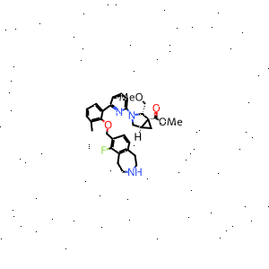 COC[C@H]1N(c2cccc(-c3cccc(C)c3OCc3ccc4c(c3F)CCNCC4)n2)C[C@@H]2C[C@@]21C(=O)OC